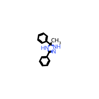 CC1(c2ccccc2)NN=C(c2ccccc2)N1